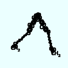 C=CC(=O)OCCCCCCCCCCOc1ccc(C(=O)Oc2ccc(C(=O)O[C@@H]3OCCO[C@H]3OC(=O)c3ccc(OC(=O)c4ccc(OCCCCCCCCCCOC(=O)C=C)cc4)cc3)cc2)cc1